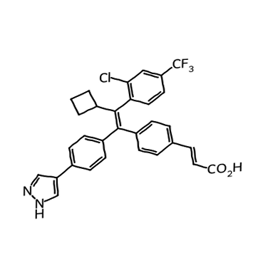 O=C(O)C=Cc1ccc(C(=C(c2ccc(C(F)(F)F)cc2Cl)C2CCC2)c2ccc(-c3cn[nH]c3)cc2)cc1